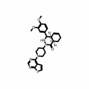 COc1ccc(C2NN(C3CCN(c4ncnc5sccc45)CC3)C(=O)[C@@H]3CCC=C[C@H]23)cc1OC